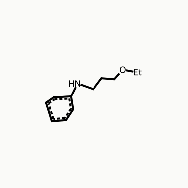 CCOCCCNc1ccccc1